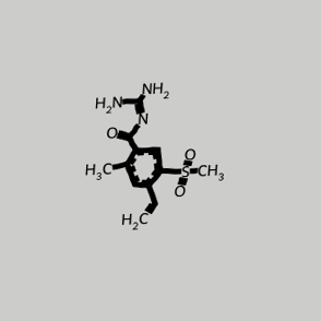 C=Cc1cc(C)c(C(=O)N=C(N)N)cc1S(C)(=O)=O